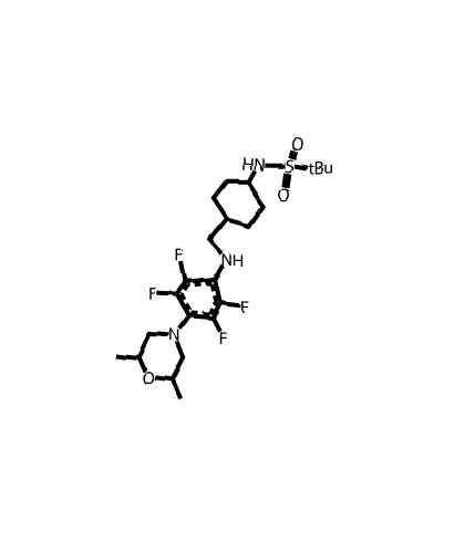 CC1CN(c2c(F)c(F)c(NCC3CCC(NS(=O)(=O)C(C)(C)C)CC3)c(F)c2F)CC(C)O1